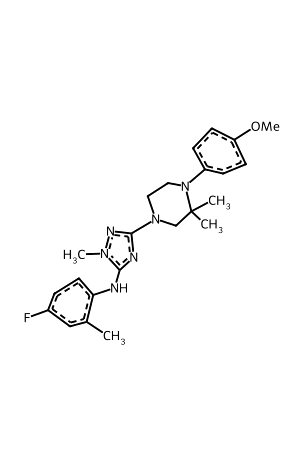 COc1ccc(N2CCN(c3nc(Nc4ccc(F)cc4C)n(C)n3)CC2(C)C)cc1